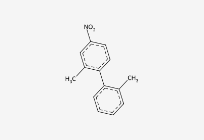 Cc1ccccc1-c1ccc([N+](=O)[O-])cc1C